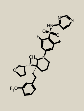 CN([C@@H]1CCOC1)[C@]1(CCc2cccc(C(F)(F)F)c2)CCCN(c2cc(F)c(S(=O)(=O)Nc3ccncn3)c(F)c2)C1